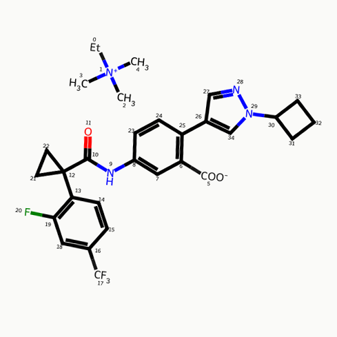 CC[N+](C)(C)C.O=C([O-])c1cc(NC(=O)C2(c3ccc(C(F)(F)F)cc3F)CC2)ccc1-c1cnn(C2CCC2)c1